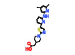 Cc1cc(C)nc(Nc2cccc(-c3cnc(N4CCC(CC(=O)O)CC4)s3)n2)c1